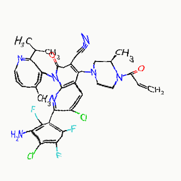 C=CC(=O)N1CCN(c2c(C#N)c(=O)n(-c3c(C)ccnc3C(C)C)c3nc(-c4c(F)c(N)c(Cl)c(F)c4F)c(Cl)cc23)C[C@H]1C